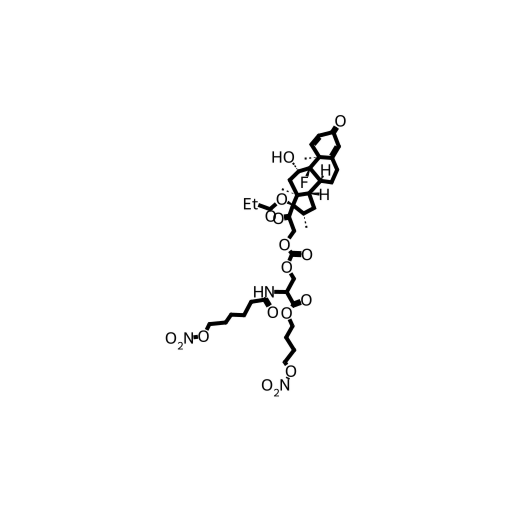 CCC(=O)O[C@]1(C(=O)COC(=O)OCC(NC(=O)CCCCCO[N+](=O)[O-])C(=O)OCCCCO[N+](=O)[O-])[C@@H](C)C[C@H]2[C@@H]3CCC4=CC(=O)C=C[C@]4(C)[C@@]3(F)[C@@H](O)C[C@@]21C